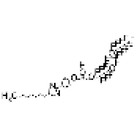 CCCCCCCCc1cnc(-c2ccc(OC[C@@H](O)COCC(F)(F)C(F)(F)C(F)(F)OC(F)(F)C(F)(F)OC(F)(F)C(F)(F)C(F)(F)C(F)(F)F)cc2)nc1